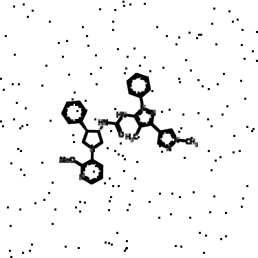 COc1ncccc1N1C[C@@H](NC(=O)Nc2c(C)c(-c3cnn(C)c3)nn2-c2ccccc2)[C@H](c2ccccc2)C1